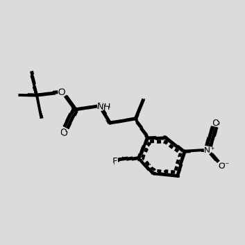 CC(CNC(=O)OC(C)(C)C)c1cc([N+](=O)[O-])ccc1F